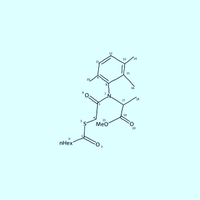 CCCCCCC(=O)SCC(=O)N(c1c(C)ccc(C)c1C)C(C)C(=O)OC